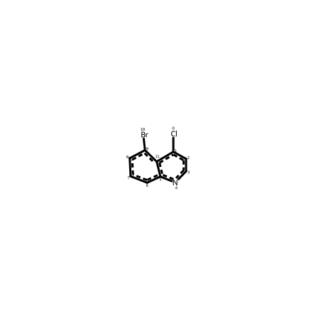 Clc1ccnc2cccc(Br)c12